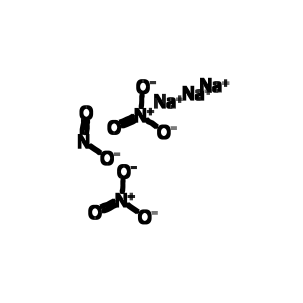 O=N[O-].O=[N+]([O-])[O-].O=[N+]([O-])[O-].[Na+].[Na+].[Na+]